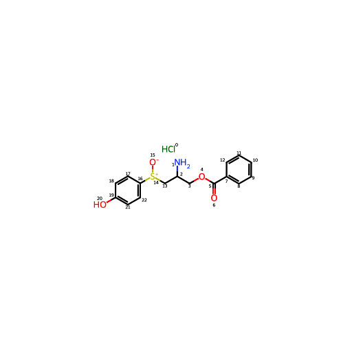 Cl.NC(COC(=O)c1ccccc1)C[S+]([O-])c1ccc(O)cc1